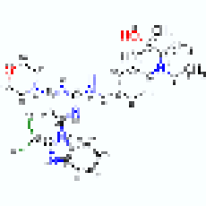 CCN(C(C)C(C)(C)O)[C@H]1CC[C@H](CNc2nc(N3CCOCC3)cc(-n3c(C(F)F)nc4ccccc43)n2)CC1